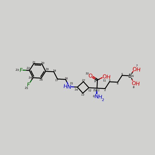 N[C@](CCCCB(O)O)(C(=O)O)C1CC(NCCCc2ccc(F)c(F)c2)C1